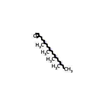 CCC/C(C)=C/CC/C(C)=C/CC/C(C)=C/CC/C(C)=C/CCc1ccoc1